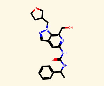 CC(NC(=O)Nc1cc2cnn(CC3CCOC3)c2c(CO)n1)c1ccccc1